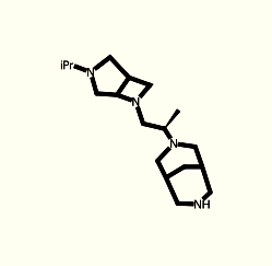 CC(C)N1CC2CN(C[C@@H](C)N3CC4CNCC(C4)C3)C2C1